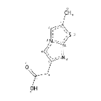 Cc1cn2cc(CC(=O)O)nc2s1